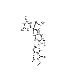 CCN(C(=O)c1ccnc(-n2ccc3cc(N(CC(=O)O)S(=O)(=O)c4cc(Cl)cc(Cl)c4)ccc32)c1)N(C)C